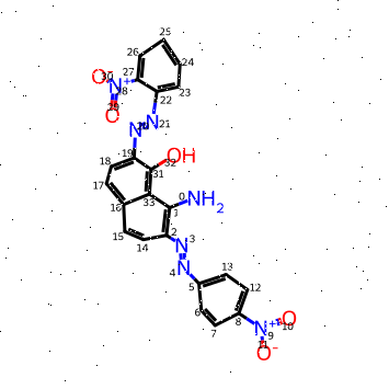 Nc1c(N=Nc2ccc([N+](=O)[O-])cc2)ccc2ccc(N=Nc3ccccc3[N+](=O)[O-])c(O)c12